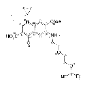 CCC(C#N)OCCOCCNc1cc2c(=O)c(C(=O)O)cn(C3CC3)c2cc1OC